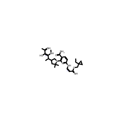 CCC1(COC(=N)/C=C\Nc2ccc(C(N)=O)c(N3CC(C(C)/C(NC)=C(\S)C(C)=N)CC3(C)C)n2)CC1